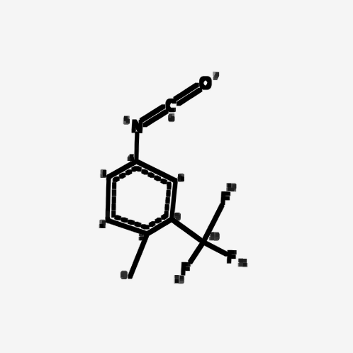 Cc1ccc(N=C=O)cc1C(F)(F)F